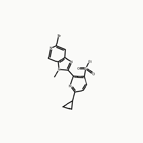 CCS(=O)(=O)c1ccc(C2CC2)nc1-c1nc2cc(Br)ncc2n1C